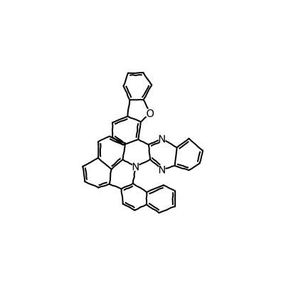 c1ccc2c3c(ccc2c1)-c1cccc2cccc(c12)N3c1nc2ccccc2nc1-c1cccc2c1oc1ccccc12